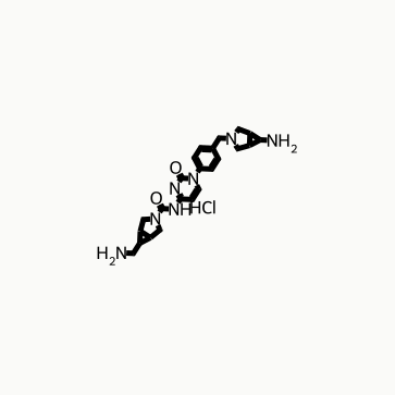 Cl.NCC1C2CN(C(=O)Nc3ccn(-c4ccc(CN5CC6C(N)C6C5)cc4)c(=O)n3)CC12